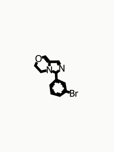 Brc1cccc(C2N=CC3=COCCN32)c1